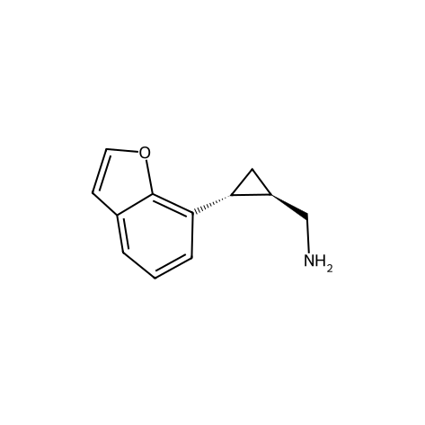 NC[C@@H]1C[C@H]1c1cccc2ccoc12